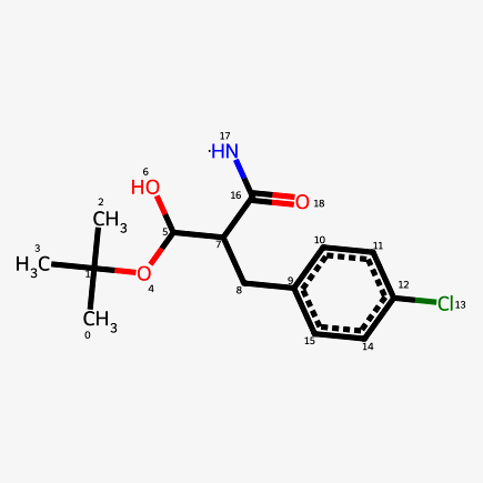 CC(C)(C)OC(O)C(Cc1ccc(Cl)cc1)C([NH])=O